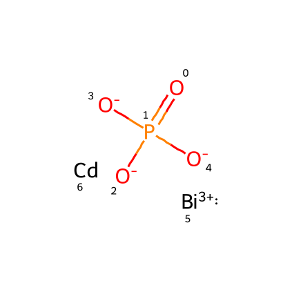 O=P([O-])([O-])[O-].[Bi+3].[Cd]